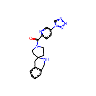 O=C(c1ccc(-n2cnnn2)cn1)N1CCC2(CC1)Cc1ccccc1CN2